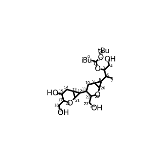 CCC(C)C(OC(CO)C(C)C1C2CC(C3C4CC(O)C(CO)OC43)C(CO)OC21)OC(C)(C)C